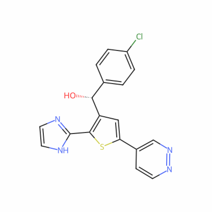 O[C@H](c1ccc(Cl)cc1)c1cc(-c2ccnnc2)sc1-c1ncc[nH]1